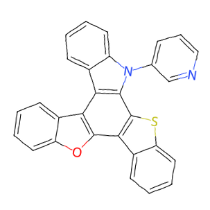 c1cncc(-n2c3ccccc3c3c4c5ccccc5oc4c4c5ccccc5sc4c32)c1